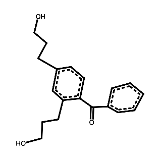 O=C(c1ccccc1)c1ccc(CCCO)cc1CCCO